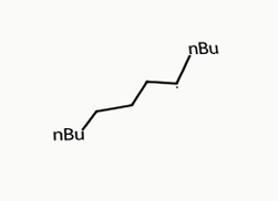 [CH2]CCC[CH]CCCCCC[CH2]